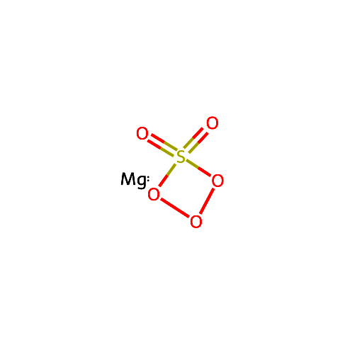 O=S1(=O)OOO1.[Mg]